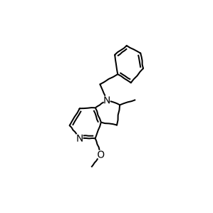 COc1nccc2c1CC(C)N2Cc1ccccc1